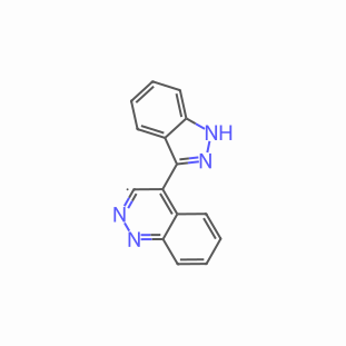 [c]1nnc2ccccc2c1-c1n[nH]c2ccccc12